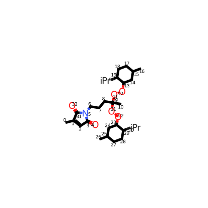 CC1=CC(=O)N(CCCC(C)(OOC2CC(C)CCC2C(C)C)OOC2CC(C)CCC2C(C)C)C1=O